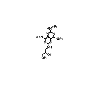 CCCNc1nc(NC)c2nc(NCC(O)CO)nc(NC)c2n1